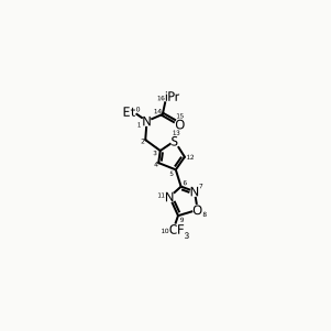 CCN(Cc1cc(-c2noc(C(F)(F)F)n2)cs1)C(=O)C(C)C